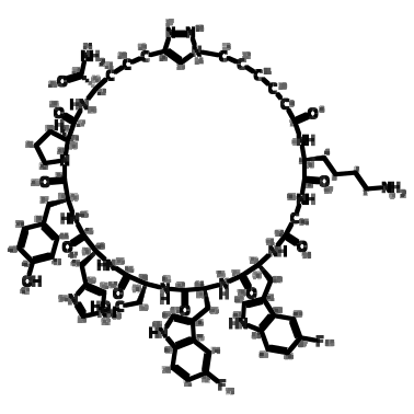 NCCCC[C@@H]1NC(=O)CCCCCn2cc(nn2)CCC[C@@H](C(N)=O)NC(=O)[C@@H]2CCCN2C(=O)[C@H](Cc2ccc(O)cc2)NC(=O)[C@H](Cc2c[nH]cn2)NC(=O)[C@H](CC(=O)O)NC(=O)[C@H](Cc2c[nH]c3ccc(F)cc23)NC(=O)[C@H](Cc2c[nH]c3ccc(F)cc23)NC(=O)CNC1=O